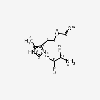 Cc1[nH]cnc1CCOC=O.NC(F)C(F)F